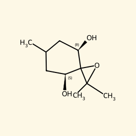 CC1C[C@@H](O)C2(OC2(C)C)[C@@H](O)C1